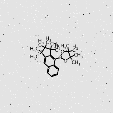 CC1(C)OB(c2c3c(cc4ccccc24)C(C)(C)C(C)(C)C3(C)C)OC1(C)C